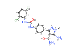 Cn1nc(-c2ccc(NC(=O)Nc3cc(Cl)ccc3Cl)cc2)c(C(N)=O)c1N